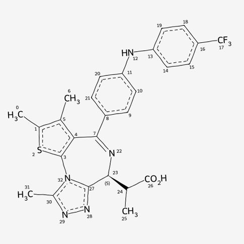 Cc1sc2c(c1C)C(c1ccc(Nc3ccc(C(F)(F)F)cc3)cc1)=N[C@@H](C(C)C(=O)O)c1nnc(C)n1-2